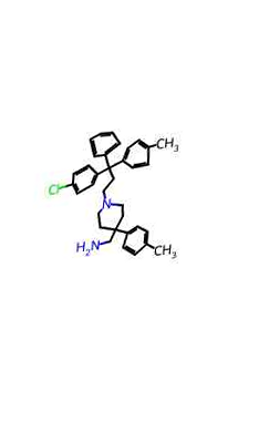 Cc1ccc(C2(CN)CCN(CCC(c3ccccc3)(c3ccc(C)cc3)c3ccc(Cl)cc3)CC2)cc1